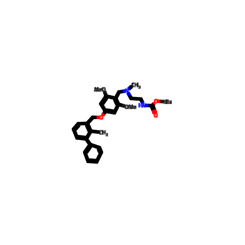 COc1cc(OCc2cccc(-c3ccccc3)c2C)cc(OC)c1CN(C)CCNC(=O)OC(C)(C)C